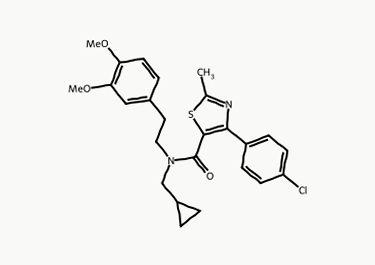 COc1ccc(CCN(CC2CC2)C(=O)c2sc(C)nc2-c2ccc(Cl)cc2)cc1OC